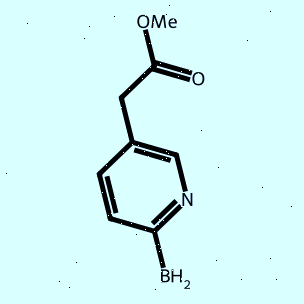 Bc1ccc(CC(=O)OC)cn1